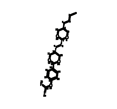 CCCC[C@H]1CO[C@H](CC[C@H]2CO[C@H](c3ccc(OC(F)F)cc3)OC2)OC1